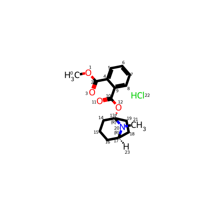 COC(=O)c1ccccc1C(=O)O[C@]12CCC[C@H](CC1)N2C.Cl